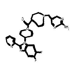 Nc1ncc(CN2CCC(C(=O)N3CCC(n4c(-c5ccccn5)nc5cc(F)c(F)cc54)CC3)CC2)cn1